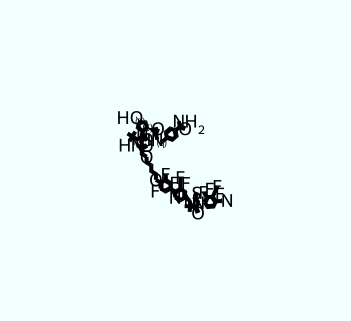 C[C@H](NC1OC1[C@@H]1C[C@@H](O)CN1C(=O)[C@@H](NC(=O)COCCCCOc1c(F)cc(-c2ncc(N3C(=S)N(c4ccc(C#N)c(C(F)(F)F)c4F)C(=O)C3(C)C)cc2C(F)(F)F)cc1F)C(C)(C)C)c1ccc(C(N)=O)cc1